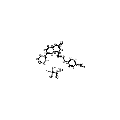 O=C(O)C(F)(F)F.O=[N+]([O-])c1ccc(CCNc2cc(Cl)nc3ccc(N4CCOCC4)cc23)cc1